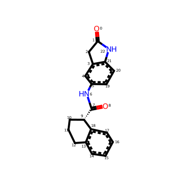 O=C1Cc2cc(NC(=O)[C@H]3CCCc4ccccc43)ccc2N1